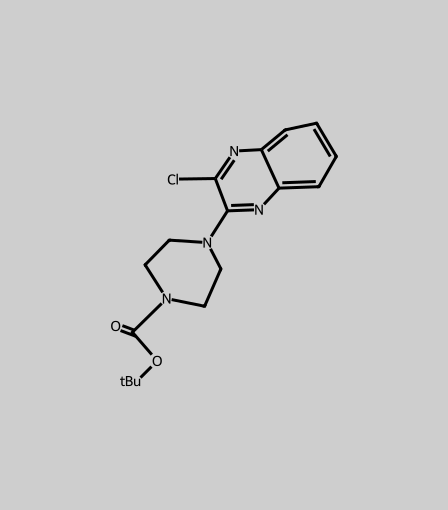 CC(C)(C)OC(=O)N1CCN(c2nc3ccccc3nc2Cl)CC1